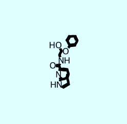 O=C(NCC(O)Oc1ccccc1)c1ccc2cc[nH]c2n1